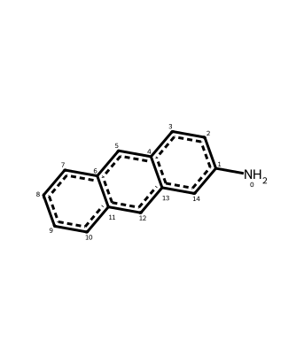 Nc1ccc2cc3c[c]ccc3cc2c1